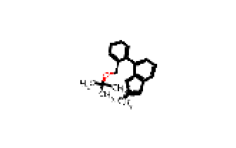 CC1=Cc2cccc(-c3ccccc3COC(C)(C)C)c2C1